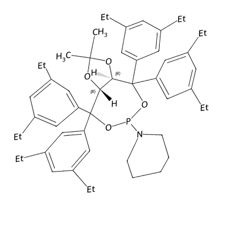 CCc1cc(CC)cc(C2(c3cc(CC)cc(CC)c3)OP(N3CCCCC3)OC(c3cc(CC)cc(CC)c3)(c3cc(CC)cc(CC)c3)[C@@H]3OC(C)(C)O[C@H]32)c1